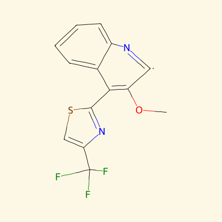 COc1[c]nc2ccccc2c1-c1nc(C(F)(F)F)cs1